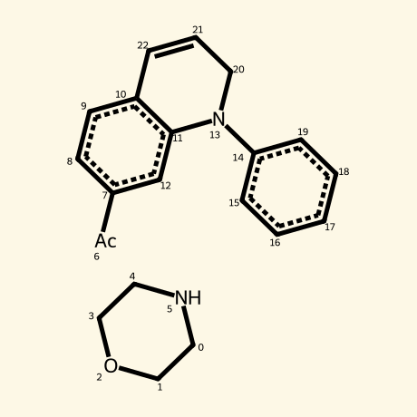 C1COCCN1.CC(=O)c1ccc2c(c1)N(c1ccccc1)CC=C2